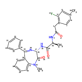 C[C@H](NC(=O)Cc1ccc(C(F)(F)F)cc1F)C(=O)N[C@H]1N=C(c2ccccc2)c2ccccc2N(C)C1=O